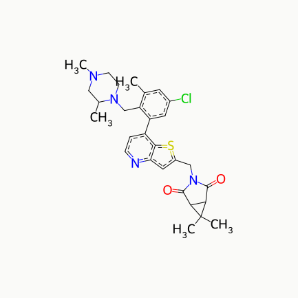 Cc1cc(Cl)cc(-c2ccnc3cc(CN4C(=O)C5C(C4=O)C5(C)C)sc23)c1CN1CCN(C)CC1C